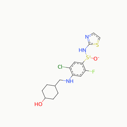 [O-][S+](Nc1nccs1)c1cc(Cl)c(NCC2CCC(O)CC2)cc1F